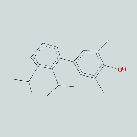 Cc1cc(-c2cccc(C(C)C)c2C(C)C)cc(C)c1O